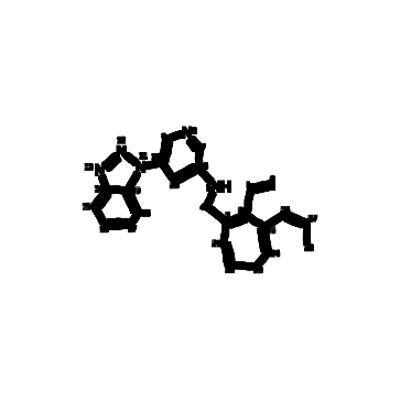 C=CC1=C(CNc2cncc(-n3nnc4ccccc43)c2)C=CCC=C1/C=C\C